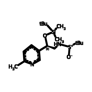 Cc1ccc([C@H](CN[S+]([O-])C(C)(C)C)O[Si](C)(C)C(C)(C)C)cn1